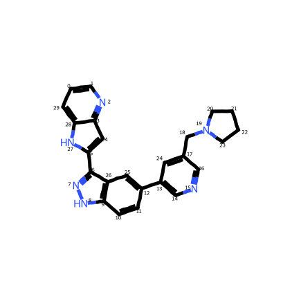 c1cnc2cc(-c3n[nH]c4ccc(-c5cncc(CN6CCCC6)c5)cc34)[nH]c2c1